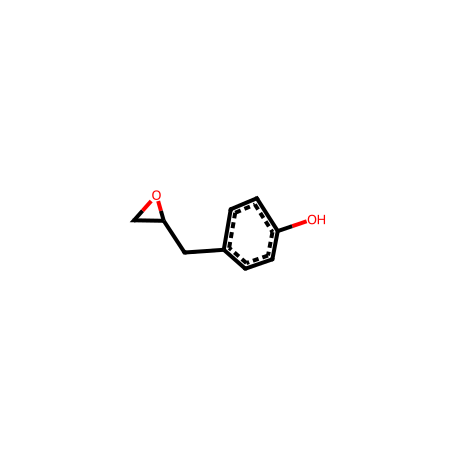 Oc1ccc(CC2CO2)cc1